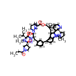 C=CC(=O)N1CC[C@H](C(=O)N(C)[C@H](C(=O)N[C@H]2Cc3cccc(c3)-c3ccc4c(c3)c(c(-c3cccnc3[C@H]3CCCN3)n4CC)CC(C)(C)COC(=O)[C@@H]3CCCN(N3)C2=O)C(C)C)C1